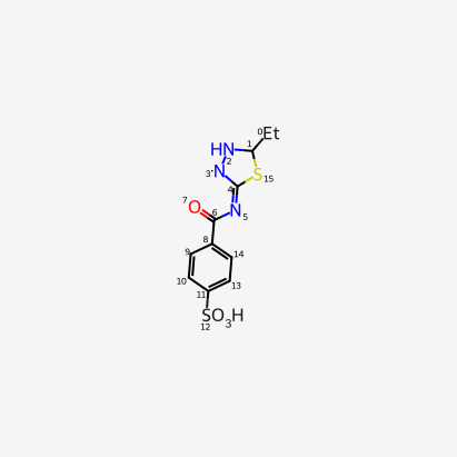 CCC1N[N]C(=NC(=O)c2ccc(S(=O)(=O)O)cc2)S1